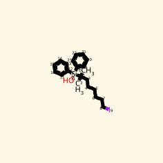 CC(C)(CCCCCCI)[Si](O)(c1ccccc1)c1ccccc1